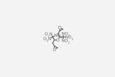 O=[N+]([O-])C(C(CC1CO1)OC(CC1CO1)C([N+](=O)[O-])([N+](=O)[O-])[N+](=O)[O-])([N+](=O)[O-])[N+](=O)[O-]